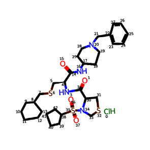 Cl.O=C(N[C@@H](CSCC1CCCCC1)C(=O)NC1CCN(Cc2ccccc2)CC1)C1CSCN1S(=O)(=O)C1CCCC1